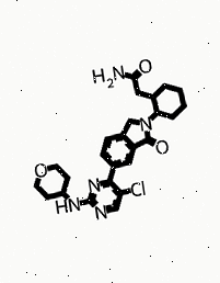 NC(=O)CC1CCCCC1N1Cc2ccc(-c3nc(NC4CCOCC4)ncc3Cl)cc2C1=O